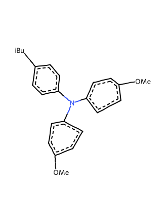 CCC(C)c1ccc(N(c2ccc(OC)cc2)c2ccc(OC)cc2)cc1